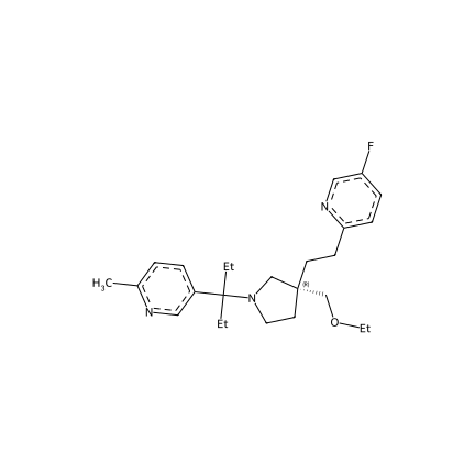 CCOC[C@]1(CCc2ccc(F)cn2)CCN(C(CC)(CC)c2ccc(C)nc2)C1